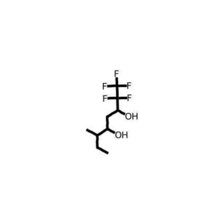 CCC(C)C(O)CC(O)C(F)(F)C(F)(F)F